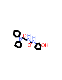 O=C(NCC(=O)N(c1ccccc1)c1ccccc1)Nc1cccc(O)c1